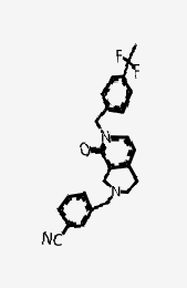 CC(F)(F)c1ccc(Cn2ccc3c(c2=O)CN(Cc2cccc(C#N)c2)CC3)cc1